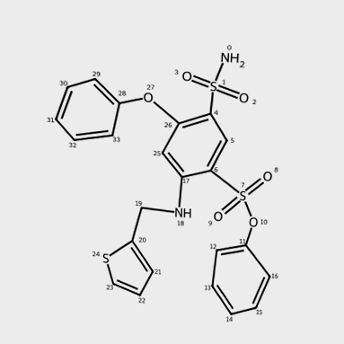 NS(=O)(=O)c1cc(S(=O)(=O)Oc2ccccc2)c(NCc2cccs2)cc1Oc1ccccc1